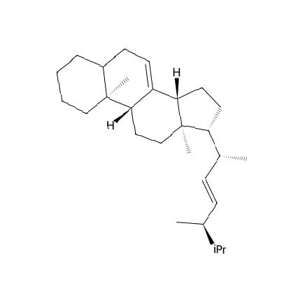 CC(C)[C@@H](C)C=C[C@@H](C)[C@H]1CC[C@H]2C3=CCC4CCCC[C@]4(C)[C@H]3CC[C@]12C